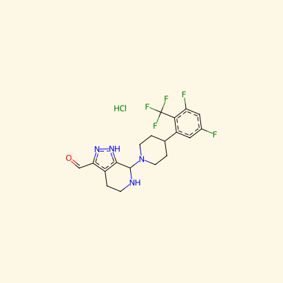 Cl.O=Cc1n[nH]c2c1CCNC2N1CCC(c2cc(F)cc(F)c2C(F)(F)F)CC1